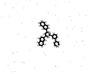 c1cc(-c2ccncc2)cc(-c2nc(-c3ccc4ccccc4c3)cc(-c3ccc4ccccc4c3)n2)c1